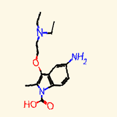 CCN(CC)CCOc1c(C)n(C(=O)O)c2ccc(N)cc12